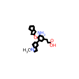 Cn1ccc2cc(-c3cc(CCC(=O)O)cc(N)c3OC3Cc4ccccc4C3)ccc21